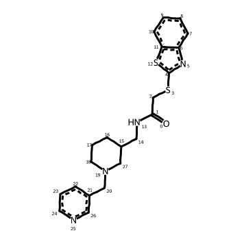 O=C(CSc1nc2ccccc2s1)NCC1CCCN(Cc2cccnc2)C1